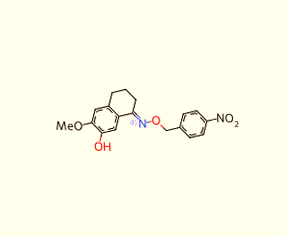 COc1cc2c(cc1O)/C(=N/OCc1ccc([N+](=O)[O-])cc1)CCC2